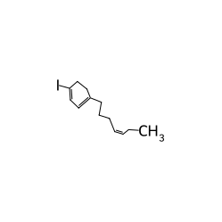 CC/C=C\CCCC1=CC=C(I)CC1